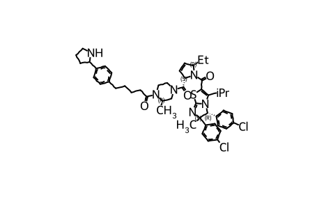 CC[C@@H]1C=C[C@@H](C(=O)N2CCN(C(=O)CCCCc3ccc(C4CCCN4)cc3)[C@H](C)C2)N1C(=O)C1=C(C(C)C)N2C(=N[C@@](C)(c3ccc(Cl)cc3)[C@H]2c2ccc(Cl)cc2)S1